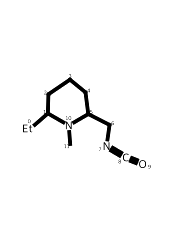 CCC1CCCC(CN=C=O)N1C